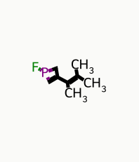 CC(C)=C(C)C1=CP(F)C1